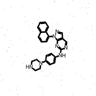 c1ccc2c(-n3ncc4cnc(Nc5ccc(N6CCNCC6)cc5)nc43)cccc2c1